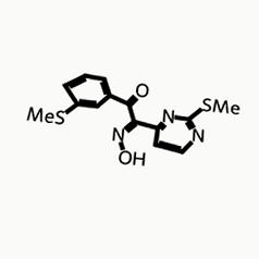 CSc1cccc(C(=O)C(=NO)c2ccnc(SC)n2)c1